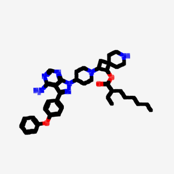 CCCCCCC(CC)C(=O)OC1C(N2CCC(n3nc(-c4ccc(Oc5ccccc5)cc4)c4c(N)ncnc43)CC2)CC12CCNCC2